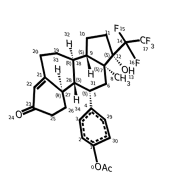 CC(=O)Oc1ccc([C@H]2C[C@@]3(C)[C@@H](CC[C@@]3(O)C(F)(F)C(F)(F)F)[C@@H]3CCC4=CC(=O)CC[C@@H]4[C@H]32)cc1